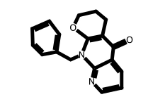 O=c1c2c(n(Cc3ccccc3)c3ncccc13)OCCC2